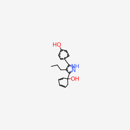 CCCc1c(C2(O)C=CC=CC2)n[nH]c1-c1ccc(O)cc1